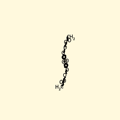 C=CC(=O)OCCOCCOc1ccc(S(=O)(=O)c2ccc(OCCOCCOC(=O)C=C)cc2)cc1